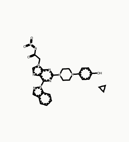 C1CC1.O=C(Cn1cnc2c(-n3ncc4ccccc43)nc(N3CCN(c4ccc(O)cc4)CC3)nc21)N=S(=O)=O